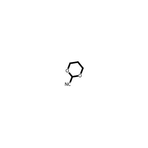 N#CC1OCCCO1